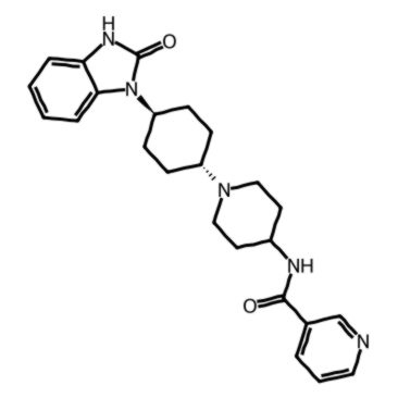 O=C(NC1CCN([C@H]2CC[C@H](n3c(=O)[nH]c4ccccc43)CC2)CC1)c1cccnc1